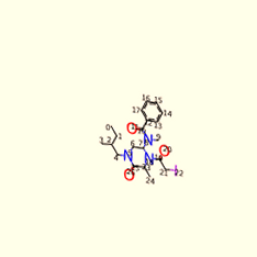 CCC(C)CN1CC(N(C)C(=O)c2ccccc2)N(C(=O)CI)C(C)C1=O